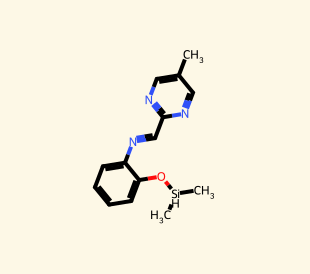 Cc1cnc(C=Nc2ccccc2O[SiH](C)C)nc1